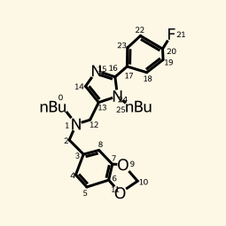 CCCCN(Cc1ccc2c(c1)OCO2)Cc1cnc(-c2ccc(F)cc2)n1CCCC